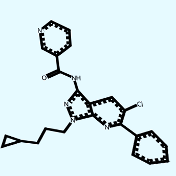 O=C(Nc1nn(CCCC2CC2)c2nc(-c3cc[c]cc3)c(Cl)cc12)c1cccnc1